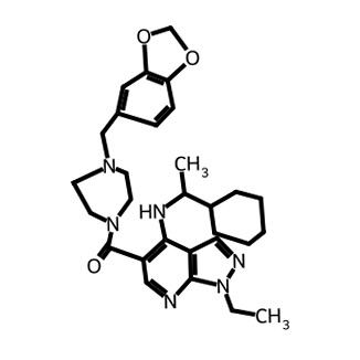 CCn1ncc2c(NC(C)C3CCCCC3)c(C(=O)N3CCN(Cc4ccc5c(c4)OCO5)CC3)cnc21